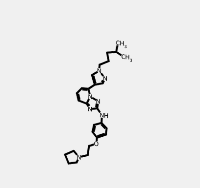 CC(C)CCCn1cc(-c2cccc3nc(Nc4ccc(OCCN5CCCC5)cc4)nn23)cn1